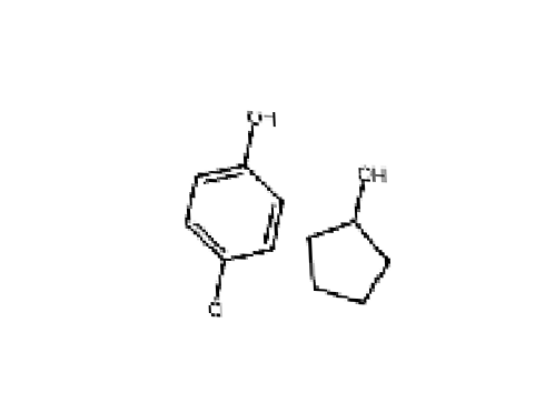 OC1CCCC1.Oc1ccc(Cl)cc1